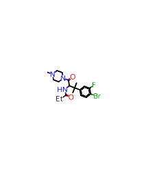 CCC(=O)NC(C(=O)N1CCN(C)CC1)C(C)(C)c1ccc(Br)c(F)c1